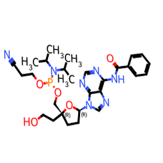 CC(C)N(C(C)C)P(OCCC#N)OC[C@]1(CCO)CC[C@H](n2cnc3c(NC(=O)c4ccccc4)ncnc32)O1